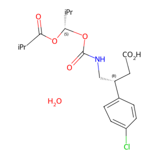 CC(C)C(=O)O[C@@H](OC(=O)NC[C@H](CC(=O)O)c1ccc(Cl)cc1)C(C)C.O